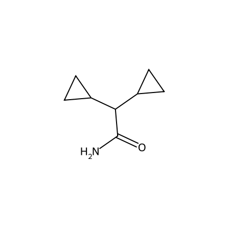 NC(=O)C(C1CC1)C1CC1